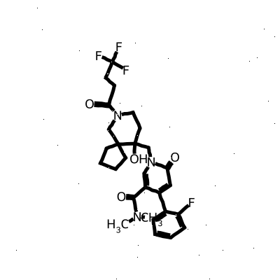 CN(C)C(=O)c1cn(CC2(O)CCN(C(=O)CCC(F)(F)F)CC23CCCC3)c(=O)cc1-c1ccccc1F